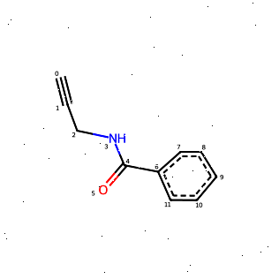 C#CCNC(=O)c1ccccc1